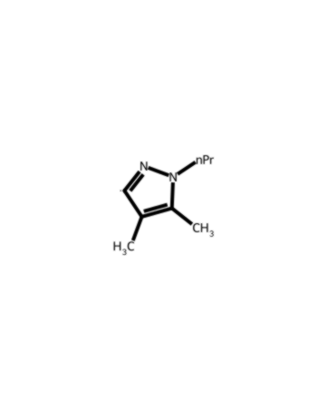 CCCn1n[c]c(C)c1C